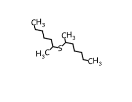 CCCCCC(C)SC(C)CCCCC